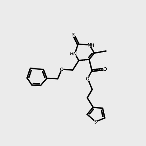 CC1=C(C(=O)OCCc2ccsc2)C(COCc2ccccc2)NC(=S)N1